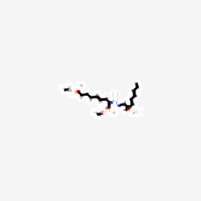 CCCCCCC(C)(O)CCNC(CC=CCCCC(=O)OCC)C(=O)OCC